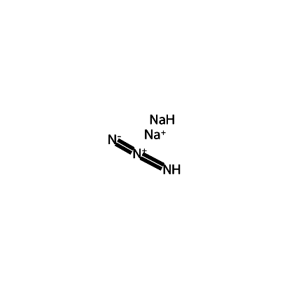 [N-]=[N+]=N.[Na+].[NaH]